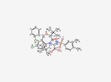 Cc1ccc(S(=O)(=O)NC(C(=O)[O-])[N+]2(CC(C)(C)C)C(=O)[C@H](C(C)(C)C)O[C@@H](c3ccccc3Cl)c3cc(Cl)ccc32)cc1C